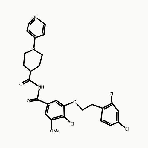 COc1cc(C(=O)NC(=O)C2CCN(c3ccncc3)CC2)cc(OCCc2ccc(Cl)cc2Cl)c1Cl